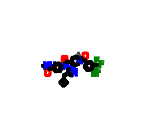 CNC(=O)c1ccc(-n2c(=O)c3c(n4ncc(CC5CCC5)c24)CN(C(=O)c2ccc(Br)c(C(F)(F)F)c2)[C@@H](C)C3)cc1